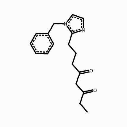 CCC(=O)CC(=O)CCCc1nccn1Cc1ccccc1